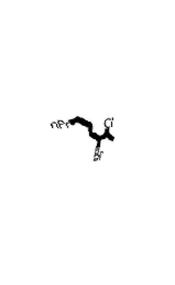 CCC/C=C\C=C(\Br)C(C)Cl